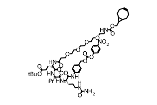 CC(C)[C@H](NC(=O)[C@H](CCC(=O)OC(C)(C)C)NC(=O)CCOCCOCCOCCOCCNC(=O)OCC1C2CCC#CCCC21)C(=O)N[C@@H](CCCNC(N)=O)C(=O)Nc1ccc(COC(=O)Oc2ccc([N+](=O)[O-])cc2)cc1